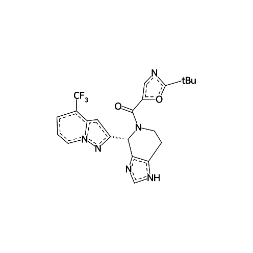 CC(C)(C)c1ncc(C(=O)N2CCc3[nH]cnc3[C@@H]2c2cc3c(C(F)(F)F)cccn3n2)o1